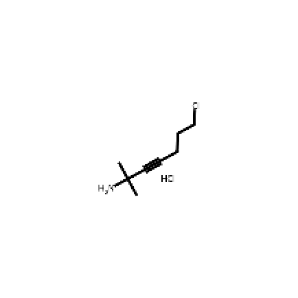 CC(C)(N)C#CCCCCl.Cl